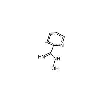 N=C(NO)c1[c]cccn1